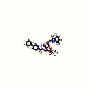 CC1(C)OC2=C(CNC(=O)c3ccccc3Cl)OC[C@]2(CNC(=O)c2ccc(-c3ccccc3)cc2)O1